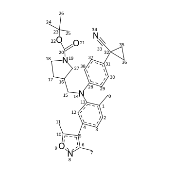 Cc1ccc(-c2c(C)noc2C)cc1N(CC1CCN(C(=O)OC(C)(C)C)C1)c1ccc(C2(C#N)CC2)cc1